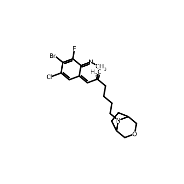 C=C(/C=C1/C=C(Cl)C(Br)=C(F)/C1=N/C)CCCCN1C2CCC1COC2